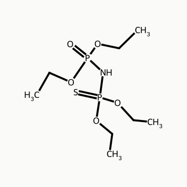 CCOP(=O)(NP(=S)(OCC)OCC)OCC